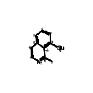 Cc1nccc2cccc(C(C)(C)C)c12